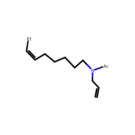 C=CCN(CCCCC/C=C\CC)C(C)=O